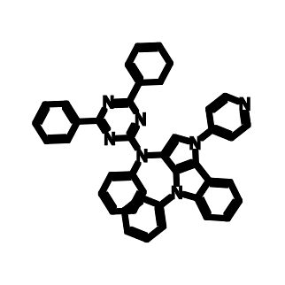 C1=CCCC(c2nc(-c3ccccc3)nc(N(c3ccccc3)c3cn(-c4ccncc4)c4c5ccccc5n(-c5ccccc5)c34)n2)=C1